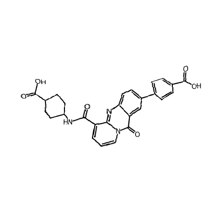 O=C(O)c1ccc(-c2ccc3nc4c(C(=O)NC5CCC(C(=O)O)CC5)cccn4c(=O)c3c2)cc1